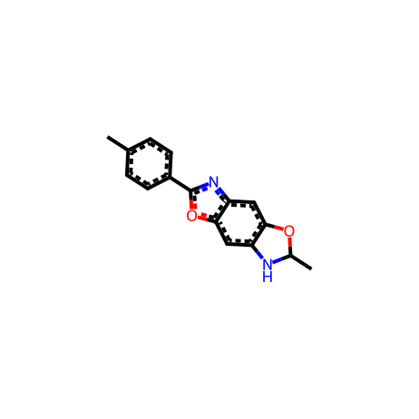 Cc1ccc(-c2nc3cc4c(cc3o2)NC(C)O4)cc1